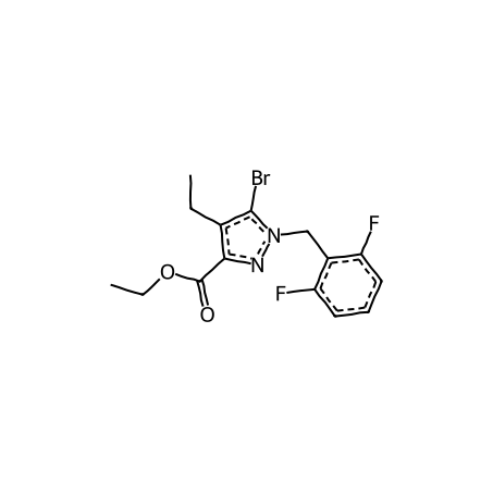 CCOC(=O)c1nn(Cc2c(F)cccc2F)c(Br)c1CC